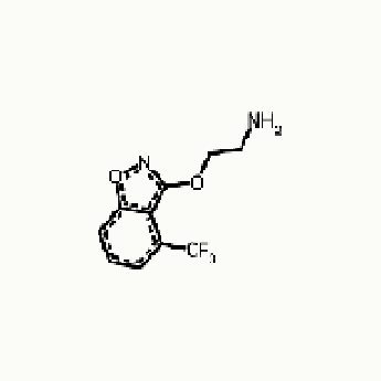 NCCOc1noc2cccc(C(F)(F)F)c12